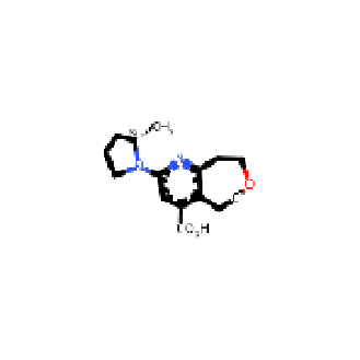 C[C@H]1CCCN1c1cc(C(=O)O)c2c(n1)CCOCC2